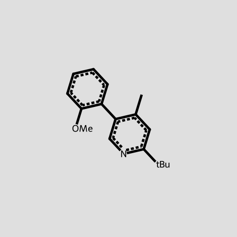 COc1ccccc1-c1cnc(C(C)(C)C)cc1C